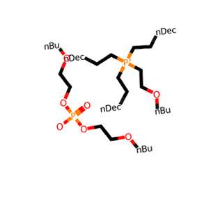 CCCCCCCCCCCC[P+](CCCCCCCCCCCC)(CCCCCCCCCCCC)CCOCCCC.CCCCOCCOP(=O)([O-])OCCOCCCC